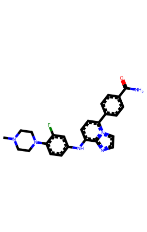 CN1CCN(c2ccc(Nc3ccc(-c4ccc(C(N)=O)cc4)n4ccnc34)cc2F)CC1